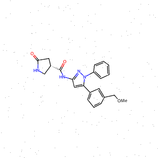 COCc1cccc(-c2cc(NC(=O)[C@@H]3CNC(=O)C3)nn2-c2ccccc2)c1